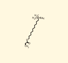 C=CC(=O)OCCCCCCCCCCC[N+](C)(C)OC(C)=O